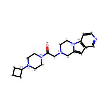 O=C(CN1CCn2c(cc3cnccc32)C1)N1CCN(C2CCC2)CC1